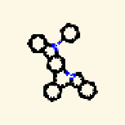 c1ccc(-n2c3ccccc3c3cc4c5ccccc5c5c6ccccc6cn5c4cc32)cc1